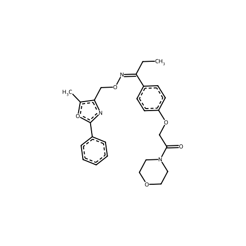 CCC(=NOCc1nc(-c2ccccc2)oc1C)c1ccc(OCC(=O)N2CCOCC2)cc1